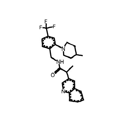 CC1CCN(c2cc(C(F)(F)F)ccc2CNC(=O)C(C)c2cnc3ccccc3c2)CC1